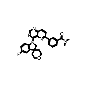 CN(C)C(=O)c1cccc(-c2ccc3ncnc(N4CC5(CCOCC5)c5cc(F)ccc54)c3n2)c1